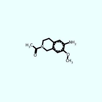 COc1cc2c(cc1N)CCN(C(C)=O)C2